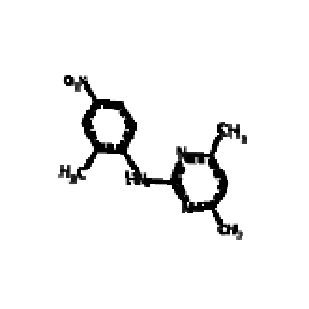 Cc1cc(C)nc(Nc2ccc([N+](=O)[O-])cc2C)n1